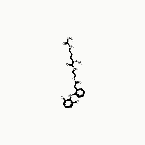 NC(=O)NCCC[C@H](N)C(=O)NCCOC(=O)Cc1ccccc1Nc1c(Cl)cccc1Cl